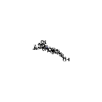 Cc1c(/N=N/c2ccc(S(=O)(=O)N3CCN(CCOCCO)CC3)cc2)c(O)n(CCCN(C)C)c(=O)c1C#N